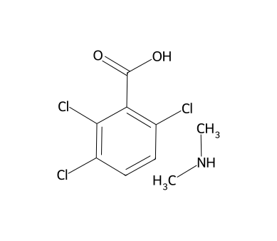 CNC.O=C(O)c1c(Cl)ccc(Cl)c1Cl